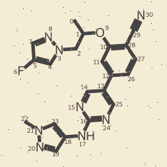 CC(Cn1cc(F)cn1)Oc1cc(-c2cnc(Nc3cnn(C)c3)nc2)ccc1C#N